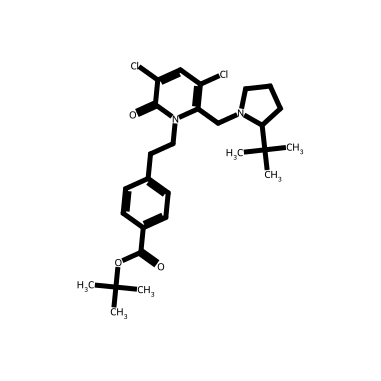 CC(C)(C)OC(=O)c1ccc(CCn2c(CN3CCCC3C(C)(C)C)c(Cl)cc(Cl)c2=O)cc1